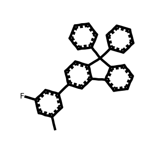 Cc1cc(F)cc(-c2ccc3c(c2)-c2ccccc2C3(c2ccccc2)c2ccccc2)c1